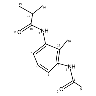 CC(=O)Nc1cccc(NC(=O)C(C)C)c1C